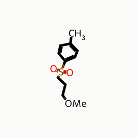 COCCCS(=O)(=O)c1ccc(C)cc1